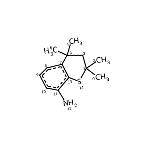 CC1(C)CC(C)(C)c2cccc(N)c2S1